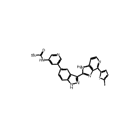 Cc1ccc(-c2nccc3[nH]c(-c4n[nH]c5ccc(-c6cncc(NC(=O)C(C)(C)C)c6)cc45)nc23)s1